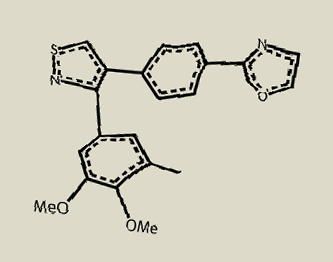 COc1cc(-c2nscc2-c2ccc(-c3ncco3)cc2)cc(C)c1OC